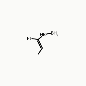 BB/C(=C/C)CC